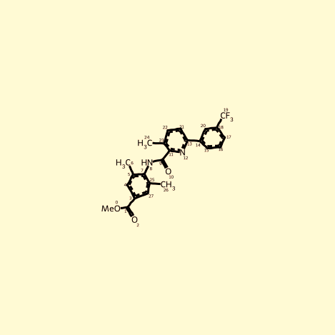 COC(=O)c1cc(C)c(NC(=O)c2nc(-c3cccc(C(F)(F)F)c3)ccc2C)c(C)c1